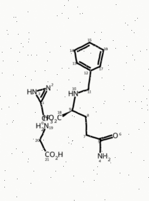 FC(F)(F)C1=NN1.NC(=O)CC[C@H](NCc1ccccc1)C(=O)O.NCC(=O)O